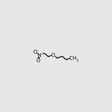 CCCCOCC[N+](=O)[O-]